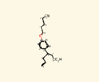 C=CCC(CC(=O)O)c1ccc(OCCCCC#N)cc1